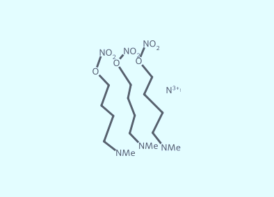 C[N-]CCCCO[N+](=O)[O-].C[N-]CCCCO[N+](=O)[O-].C[N-]CCCCO[N+](=O)[O-].[N+3]